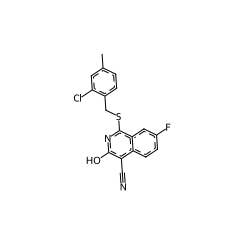 Cc1ccc(CSc2nc(O)c(C#N)c3ccc(F)cc23)c(Cl)c1